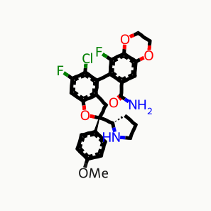 COc1ccc([C@]2([C@@H]3CCCN3)Cc3c(cc(F)c(Cl)c3-c3c(C(N)=O)cc4c(c3F)OCCO4)O2)cc1